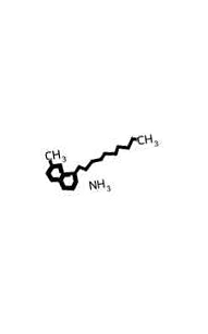 CCCCCCCCCCc1cccc2ccc(C)cc12.N